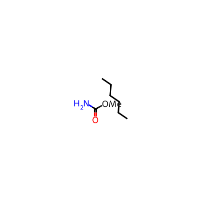 CCCCCC.COC(N)=O